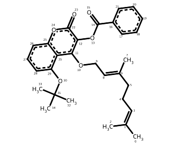 CC(C)=CCC/C(C)=C/COc1c(OC(=O)c2ccccc2)c(=O)oc2cccc(OC(C)(C)C)c12